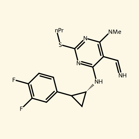 CCCSc1nc(NC)c(C=N)c(N[C@@H]2CC2c2ccc(F)c(F)c2)n1